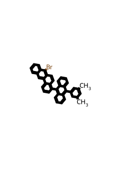 CC1=CC(C)CC(c2c3ccccc3c(-c3cccc4c3ccc3c(Br)c5ccccc5cc34)c3ccccc23)=C1